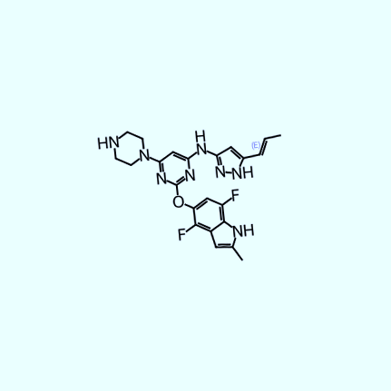 C/C=C/c1cc(Nc2cc(N3CCNCC3)nc(Oc3cc(F)c4[nH]c(C)cc4c3F)n2)n[nH]1